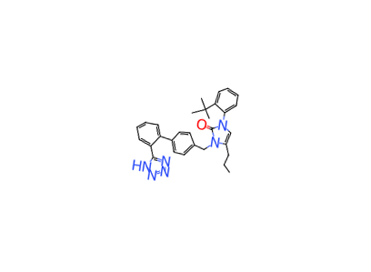 CCCc1cn(-c2ccccc2C(C)(C)C)c(=O)n1Cc1ccc(-c2ccccc2-c2nnn[nH]2)cc1